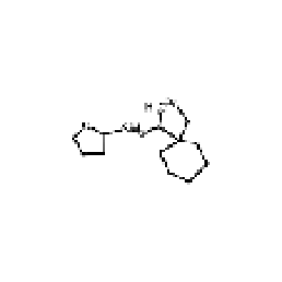 CC(C)CC1(C(C)O[SiH2]C2CCCO2)CCCCC1